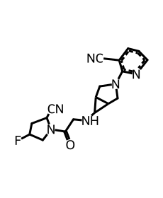 N#Cc1cccnc1N1CC2C(C1)C2NCC(=O)N1CC(F)CC1C#N